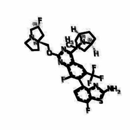 CCN1[C@@H]2CC[C@H]1CN(c1nc(OC[C@@]34CCCN3C[C@H](F)C4)nc3c(F)c(-c4ccc(F)c5sc(N)nc45)c(C(F)(F)F)cc13)C2